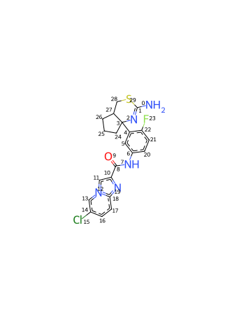 NC1=NC2(c3cc(NC(=O)c4cn5cc(Cl)ccc5n4)ccc3F)CCCC2CS1